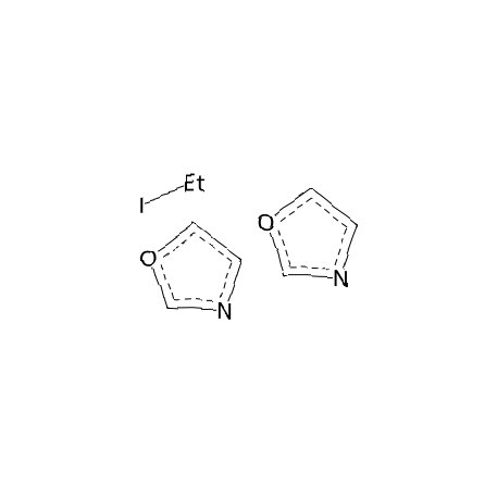 CCI.c1cocn1.c1cocn1